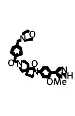 COc1cc(N2CCC3(CCN(C(=O)c4ccc(CN5CCOCC5)cc4)CC3)C2=O)ccc1-c1cn[nH]c1